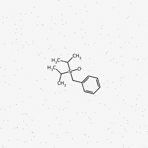 CC(C)[Si]([O])(Cc1ccccc1)C(C)C